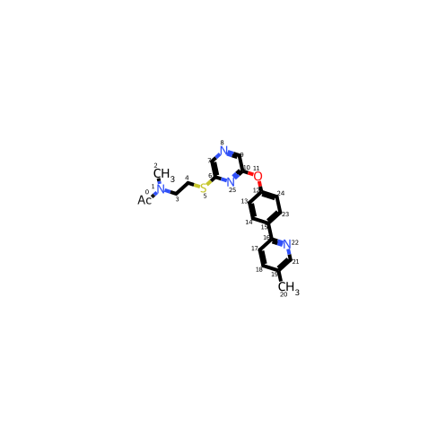 CC(=O)N(C)CCSc1cncc(Oc2ccc(-c3ccc(C)cn3)cc2)n1